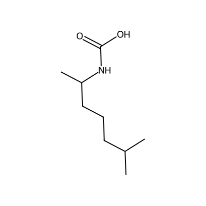 CC(C)CCCC(C)NC(=O)O